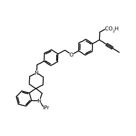 CC#CC(CC(=O)O)c1ccc(OCc2ccc(CN3CCC4(CC3)CN(C(C)C)c3ccccc34)cc2)cc1